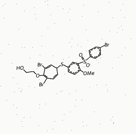 COc1ccc(SC2C=CC(Br)=C(OCCO)C(Br)=C2)cc1S(=O)(=O)c1ccc(Br)cc1